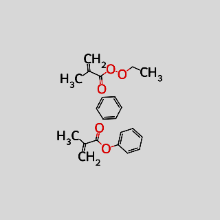 C=C(C)C(=O)OOCC.C=C(C)C(=O)Oc1ccccc1.c1ccccc1